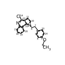 CCOc1ccc(CCn2ccc3c(Cl)nc4ccccc4c32)cc1